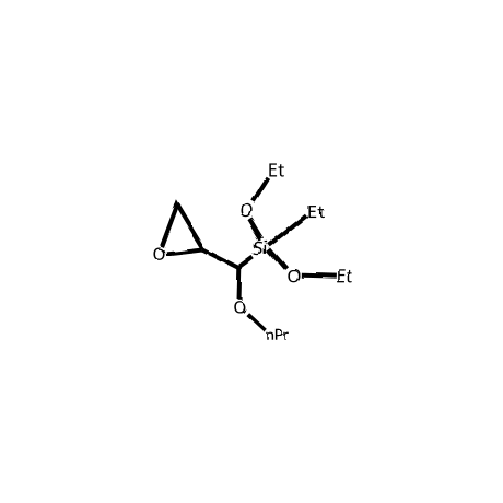 CCCOC(C1CO1)[Si](CC)(OCC)OCC